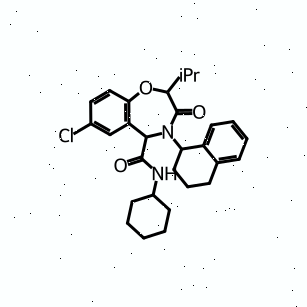 CC(C)C1Oc2ccc(Cl)cc2C(C(=O)NC2CCCCC2)N(C2CCCc3ccccc32)C1=O